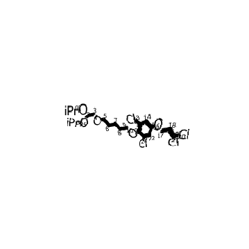 CC(C)OC(COCCCCCOc1c(Cl)cc(OCC=C(Cl)Cl)cc1Cl)OC(C)C